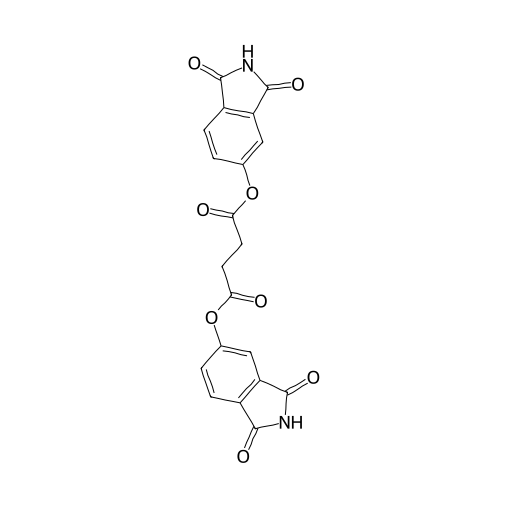 O=C(CCC(=O)Oc1ccc2c(c1)C(=O)NC2=O)Oc1ccc2c(c1)C(=O)NC2=O